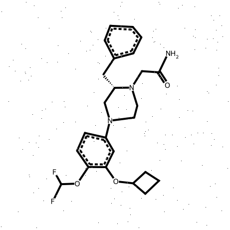 NC(=O)CN1CCN(c2ccc(OC(F)F)c(OC3CCC3)c2)C[C@@H]1Cc1ccccc1